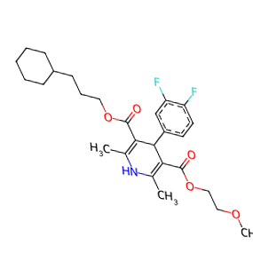 COCCOC(=O)C1=C(C)NC(C)=C(C(=O)OCCCC2CCCCC2)C1c1ccc(F)c(F)c1